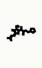 C=c1/c(=C\C=C(C)C)nc(NC(=O)CCC2CCCC2)n1CCC